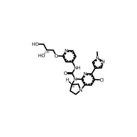 Cn1cc(-c2nc3c(cc2Cl)N2CC[C@@H](C2)N3C(=O)Nc2ccnc(OC[C@H](O)CO)c2)cn1